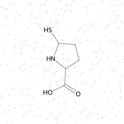 O=C(O)C1CCC(S)N1